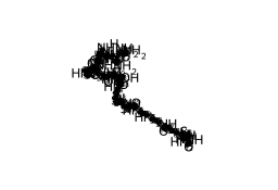 Cc1c(N)nc([C@H](CC(N)=O)NC[C@H](N)C(N)=O)nc1C(=O)N[C@H](C(=O)N[C@H](C)[C@@H](O)[C@H](C)C(=O)N[C@H](C(=O)NCCc1nc(-c2nc(C(=O)NCCCNCCCCNC(=O)CCCC[C@@H]3SC[C@@H]4NC(=O)N[C@@H]43)cs2)cs1)[C@@H](C)O)[C@@H](O)c1c[nH]cn1